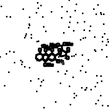 COc1c2c(c3c4c(c(C5OC6(C(OC)OC)OC5C(=O)C65CO5)c(C)cc14)O[Si](C(C)(C)C)(C(C)(C)C)O3)C(=O)CCC2